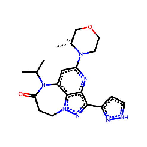 CC(C)N1C(=O)CCn2nc(-c3cc[nH]n3)c3nc(N4CCOC[C@H]4C)cc1c32